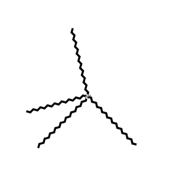 CCCCCCCCCCCCCCCCCCC[N+](CCCCCCCCCCCCCCCCC)(CCCCCCCCCCCCCCCCCCC)CCCCCCCCCCCCCCCCCCC